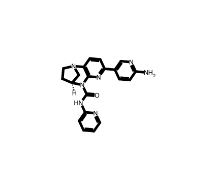 Nc1ccc(-c2ccc3c(n2)N(C(=O)Nc2ccccn2)[C@H]2CCN3C2)cn1